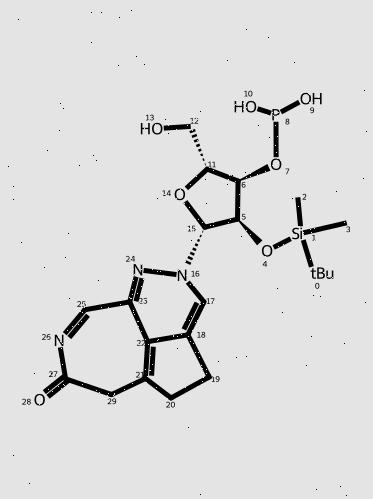 CC(C)(C)[Si](C)(C)O[C@@H]1[C@H](OP(O)O)[C@@H](CO)O[C@H]1N1C=C2CCC3=C2C(=N1)C=NC(=O)C3